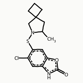 CC1CC2(CCC2)CN1Sc1cc2oc(=O)[nH]c2cc1Cl